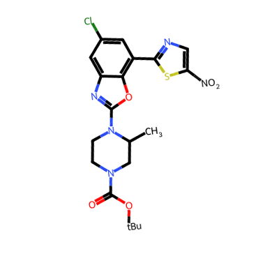 CC1CN(C(=O)OC(C)(C)C)CCN1c1nc2cc(Cl)cc(-c3ncc([N+](=O)[O-])s3)c2o1